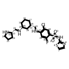 O=S(=O)(Nc1nccs1)c1cc(Cl)c(NC[C@H]2CCC[C@@H](NC[C@@H]3CCCN3)C2)cc1F